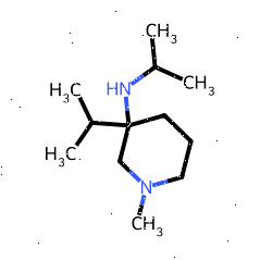 CC(C)NC1(C(C)C)CCCN(C)C1